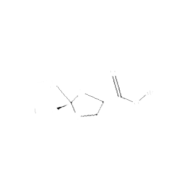 CCOC(=O)[C@]1(C(=O)O)OC[C@@H](C(=O)OC(C)(C)C)O1